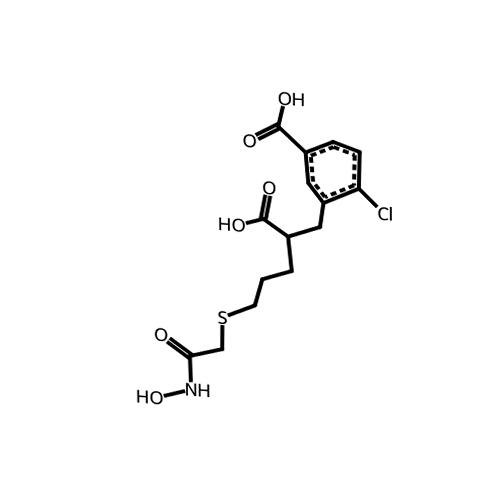 O=C(CSCCCC(Cc1cc(C(=O)O)ccc1Cl)C(=O)O)NO